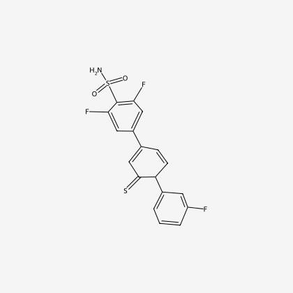 NS(=O)(=O)c1c(F)cc(C2=CC(=S)C(c3cccc(F)c3)C=C2)cc1F